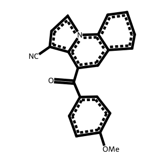 COc1ccc(C(=O)c2cc3ccccc3n3ccc(C#N)c23)cc1